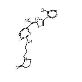 N#CC(=C1NC(c2ccccc2Cl)=CS1)c1ccnc(NCCCN2CCCC2=O)n1